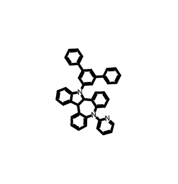 c1ccc(-c2cc(-c3ccccc3)cc(N3c4ccccc4C4c5ccccc5N(c5ccccn5)c5ccccc5C43)c2)cc1